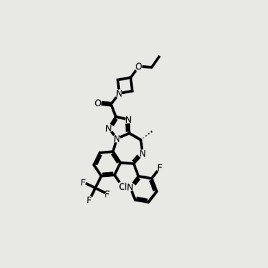 CCOC1CN(C(=O)c2nc3n(n2)-c2ccc(C(F)(F)F)c(Cl)c2C(c2ncccc2F)=N[C@H]3C)C1